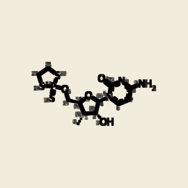 C[C@H]1[C@@H](O)[C@H](n2ccc(N)nc2=O)O[C@@H]1COP1(=S)SCCS1